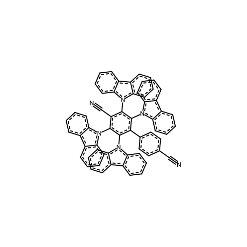 N#Cc1ccc(-c2c(-n3c4ccccc4c4ccccc43)c(-n3c4ccccc4c4ccccc43)c(C#N)c(-n3c4ccccc4c4ccccc43)c2-n2c3ccccc3c3ccccc32)cc1